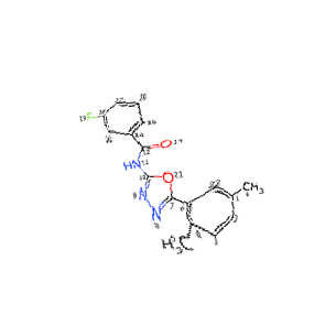 Cc1ccc(C)c(-c2nnc(NC(=O)c3cccc(F)c3)o2)c1